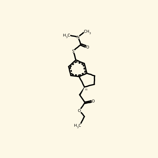 CCOC(=O)C[C@@H]1CCc2cc(SC(=O)N(C)C)ccc21